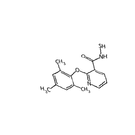 Cc1cc(C)c(Oc2ncccc2C(=O)NS)c(C)c1